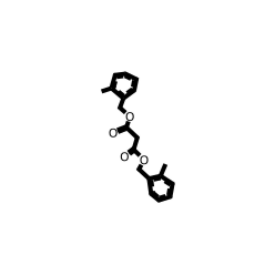 Cc1ccccc1COC(=O)CC(=O)OCc1ccccc1C